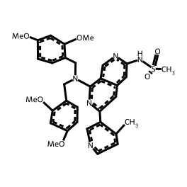 COc1ccc(CN(Cc2ccc(OC)cc2OC)c2nc(-c3cnccc3C)cc3cc(NS(C)(=O)=O)ncc23)c(OC)c1